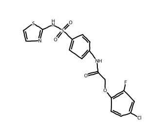 O=C(COc1ccc(Cl)cc1F)Nc1ccc(S(=O)(=O)Nc2nccs2)cc1